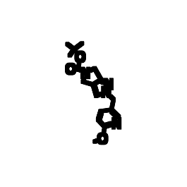 COc1ccc(Cn2cc3c(n2)CN(C(=O)OC(C)(C)C)C3)cn1